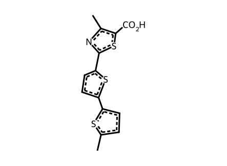 Cc1ccc(-c2ccc(-c3nc(C)c(C(=O)O)s3)s2)s1